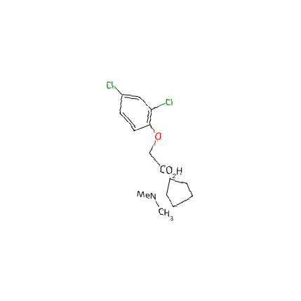 C1CCCC1.CNC.O=C(O)COc1ccc(Cl)cc1Cl